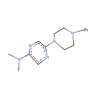 CC(C)N1CCN(c2cnc(N(C)C)cn2)CC1